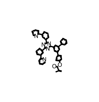 C=C(C)C(=O)Oc1ccc(-c2cc(-c3ccccc3)cc(-c3nc(-c4cccc(-c5ccccn5)c4)nc(-c4cccc(-c5ccccn5)c4)n3)c2)cc1